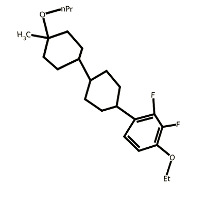 CCCOC1(C)CCC(C2CCC(c3ccc(OCC)c(F)c3F)CC2)CC1